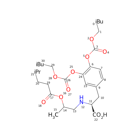 CCC(C)COC(=O)Oc1ccc(C[C@H](NCC(C)OC(=O)CCC(C)C)C(=O)O)cc1OC(=O)OCC(C)CC